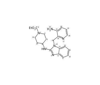 CCOC(=O)N1CCC(Nc2nc3ccccc3n2Cc2ncccc2N)CC1